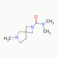 CN1CCC2(C1)CN(C(=O)N(C)C)C2